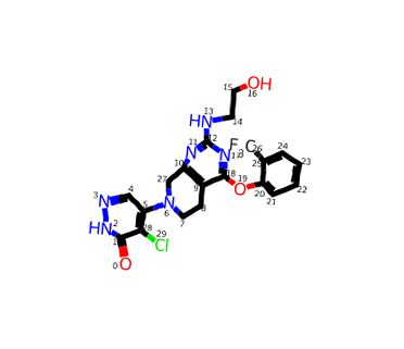 O=c1[nH]ncc(N2CCc3c(nc(NCCO)nc3Oc3ccccc3C(F)(F)F)C2)c1Cl